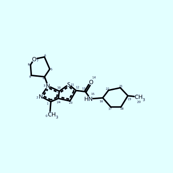 Cc1nn(C2CCOCC2)c2sc(C(=O)NC3CCC(C)CC3)cc12